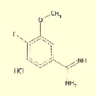 COc1cc(C(=N)N)ccc1F.Cl